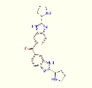 O=C(c1ccc2nc([C@@H]3CCCN3)[nH]c2c1)c1ccc2nc([C@@H]3CCCN3)[nH]c2c1